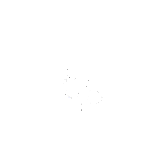 CC(C)Nc1ccccc1C(=N)C(=O)/C=C\C1CN[C@H](CC2(O)CCCCC2)C1